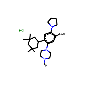 CCCN1CCN(c2cc(OC)c(N3CCCC3)cc2C2CC(C)(C)CC(C)(C)C2)CC1.Cl